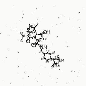 Cc1nsc([C@H](C(=O)N2C[C@H](O)C[C@H]2C(=O)NCc2ccc(-c3scnc3C)cc2)C(C)C)n1